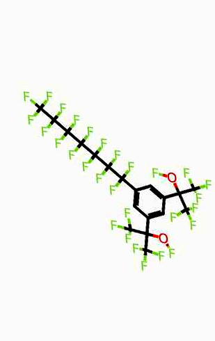 FOC(c1cc(C(F)(F)C(F)(F)C(F)(F)C(F)(F)C(F)(F)C(F)(F)C(F)(F)F)cc(C(OF)(C(F)(F)F)C(F)(F)F)c1)(C(F)(F)F)C(F)(F)F